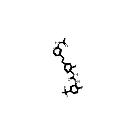 CC(=O)Nc1cc(CCc2ccc(NC(=O)Nc3cc(C(C)(F)F)ccc3F)c(F)c2)ccn1